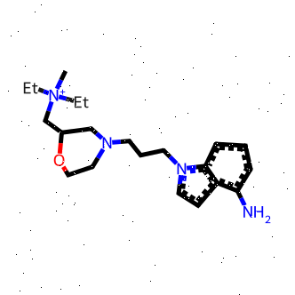 CC[N+](C)(CC)CC1CN(CCCn2ccc3c(N)cccc32)CCO1